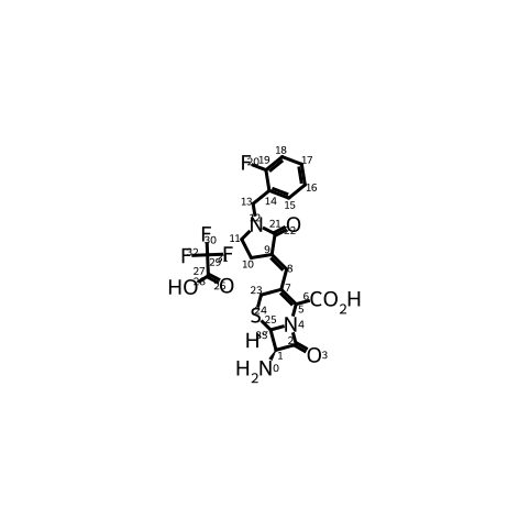 N[C@@H]1C(=O)N2C(C(=O)O)=C(/C=C3\CCN(Cc4ccccc4F)C3=O)CS[C@H]12.O=C(O)C(F)(F)F